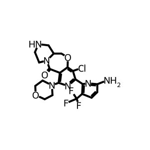 Nc1ccc(C(F)(F)F)c(-c2nc(N3CCOCC3)c3c(c2Cl)OCC2CNCCN2C3=O)n1